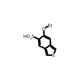 CCOc1cc2[c]s[c]c2cc1S(=O)(=O)O